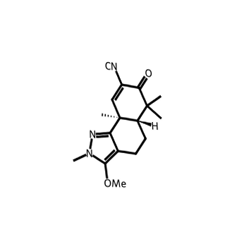 [C-]#[N+]C1=C[C@]2(C)c3nn(C)c(OC)c3CC[C@H]2C(C)(C)C1=O